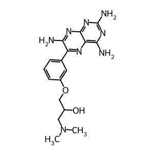 CN(C)CC(O)COc1cccc(-c2nc3c(N)nc(N)nc3nc2N)c1